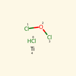 Cl.ClOCl.[Ti]